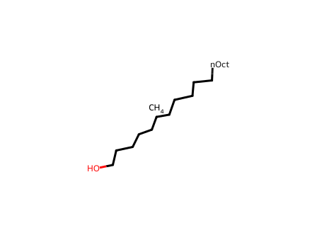 C.CCCCCCCCCCCCCCCCCCCO